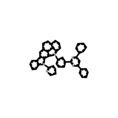 c1ccc(-c2cc(-c3ccccc3)nc(-c3cccc(-n4c5cccc6ccc7cc8c9ccccc9n(-c9ccccn9)c8c4c7c65)c3)n2)cc1